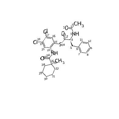 CC(=O)N[C@@H](Cc1ccccc1)C(=O)Sc1cc(Cl)c(Cl)cc1NC(=O)C1(C)CCCCC1